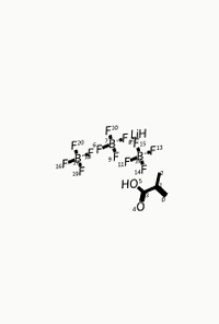 C=C(C)C(=O)O.F[B-](F)(F)F.F[B-](F)(F)F.F[B-](F)(F)F.[LiH]